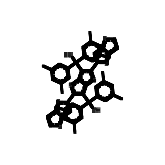 Cc1cc(C)cc(C(O)(c2cc(C)cc(C)c2)c2c(-c3cc4sccc4s3)sc3c(C(O)(c4cc(C)cc(C)c4)c4cc(C)cc(C)c4)c(-c4cc5sccc5s4)sc23)c1